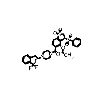 CCOc1c(C(=O)N2CCN(CCc3ccccc3C(F)(F)F)CC2)ccc2c1C(S(=O)(=O)c1ccccc1)CS2(=O)=O